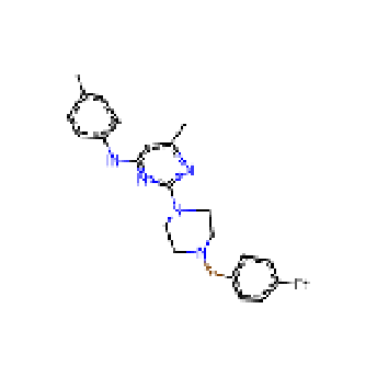 CCc1ccc(SN2CCN(c3nc(C)cc(Nc4ccc(C)cc4)n3)CC2)cc1